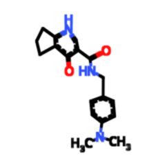 CN(C)c1ccc(CNC(=O)c2c[nH]c3c(c2=O)CCC3)cc1